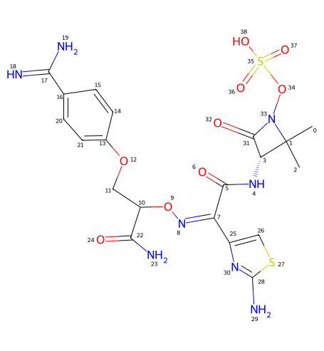 CC1(C)[C@H](NC(=O)C(=NOC(COc2ccc(C(=N)N)cc2)C(N)=O)c2csc(N)n2)C(=O)N1OS(=O)(=O)O